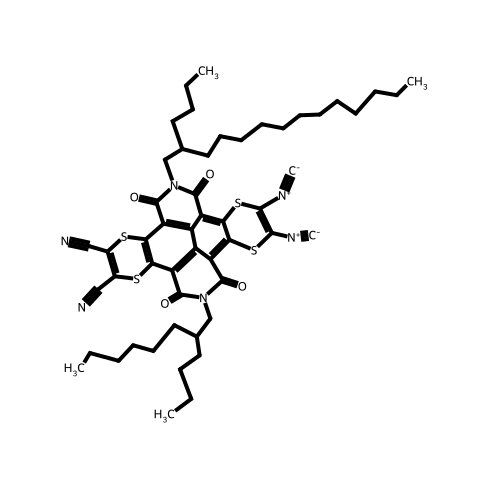 [C-]#[N+]c1sc2c(sc1[N+]#[C-])c1c(=O)n(CC(CCCC)CCCCCCCCCCCC)c(=O)c3c4sc(C#N)c(C#N)sc4c4c(=O)n(CC(CCCC)CCCCCC)c(=O)c2c4c31